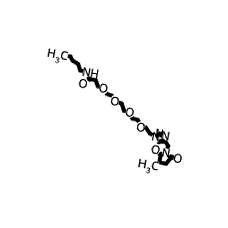 CCCCCNC(=O)CCOCCOCCOCCOCCn1cc(CN2C(=O)CC(C)C2=O)nn1